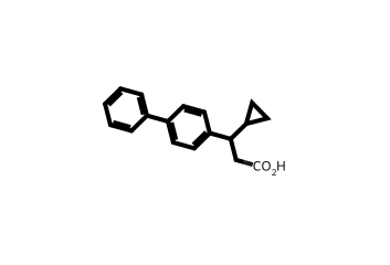 O=C(O)CC(c1ccc(-c2ccccc2)cc1)C1CC1